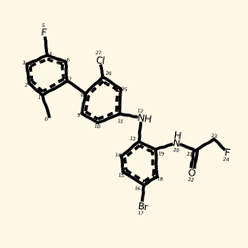 Cc1ccc(F)cc1-c1ccc(Nc2ccc(Br)cc2NC(=O)CF)cc1Cl